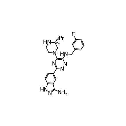 CC(C)[C@H]1CN(c2nc(-c3ccc4[nH]nc(N)c4c3)nnc2NCc2cccc(F)c2)CCN1